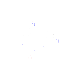 O=C(C1CCN(Cc2ccc([N+](=O)[O-])cc2)C1)N1CCN(c2ccnc3ccccc23)CC1